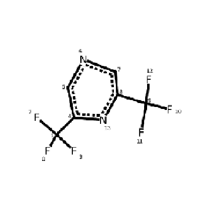 FC(F)(F)c1cncc(C(F)(F)F)n1